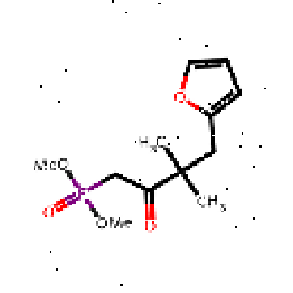 COP(=O)(CC(=O)C(C)(C)Cc1ccco1)OC